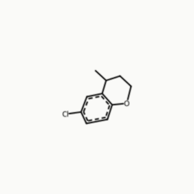 CC1CCOc2ccc(Cl)cc21